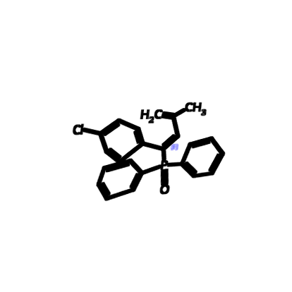 C=C(C)/C=C(\c1ccc(Cl)cc1)P(=O)(c1ccccc1)c1ccccc1